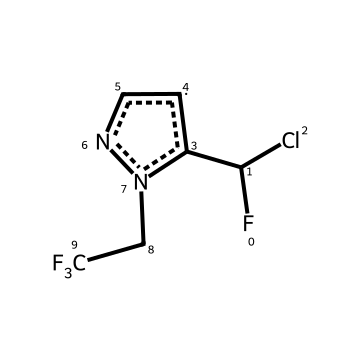 FC(Cl)c1[c]cnn1CC(F)(F)F